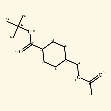 CC(=O)OCC1CCC(C(=O)OC(C)(C)C)CC1